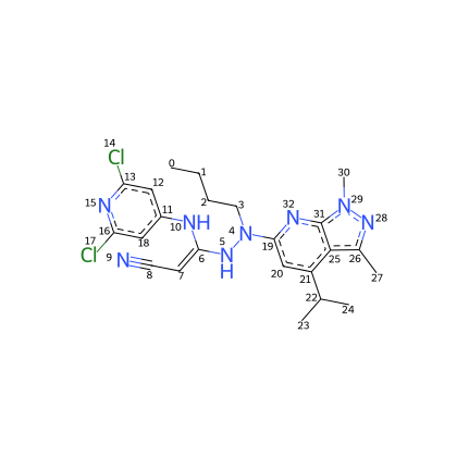 CCCCN(N/C(=C/C#N)Nc1cc(Cl)nc(Cl)c1)c1cc(C(C)C)c2c(C)nn(C)c2n1